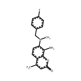 CN(Cc1ccc(F)cc1)c1ccc2c(C(F)(F)F)cc(=O)oc2c1N